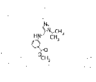 COC(=O)c1cccc(NCc2cncn2C(C)C)c1